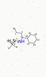 CCCC(N[SiH2]C(C)(C)C)C1CCCCC1